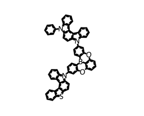 c1ccc(-n2c3ccccc3c3c4c5ccccc5n(-c5ccc6c(c5)Oc5cccc7c5B6c5ccc(-n6c8ccccc8c8c9c(ccc86)sc6ccccc69)cc5O7)c4ccc32)cc1